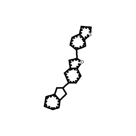 c1ccc2c(c1)CC(c1ccc3oc(-c4ccc5ccsc5c4)cc3c1)C2